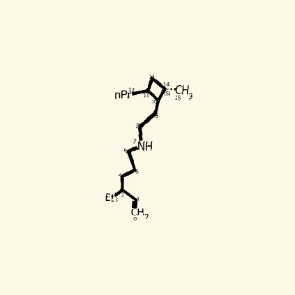 C=CC(CC)CCCNCCC1C(CCC)C[C@@H]1C